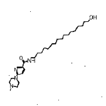 CN1CCN(c2ccc(C(=O)NCCCCCCCCCCCCCCCCCCO)cn2)CC1